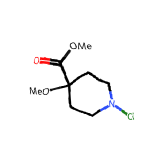 COC(=O)C1(OC)CCN(Cl)CC1